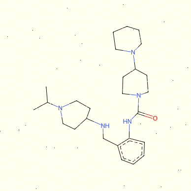 CC(C)N1CCC(NCc2ccccc2NC(=O)N2CCC(N3CCCCC3)CC2)CC1